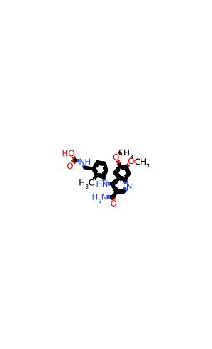 COc1cc2ncc(C(N)=O)c(Nc3cccc(CNC(=O)O)c3C)c2cc1OC